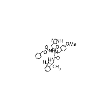 COc1ccc(CN(CC(=O)NCC(C)(C)c2ccccc2)C(=O)C(Cc2c[nH]cn2)NC(=O)OCc2ccccc2)cc1